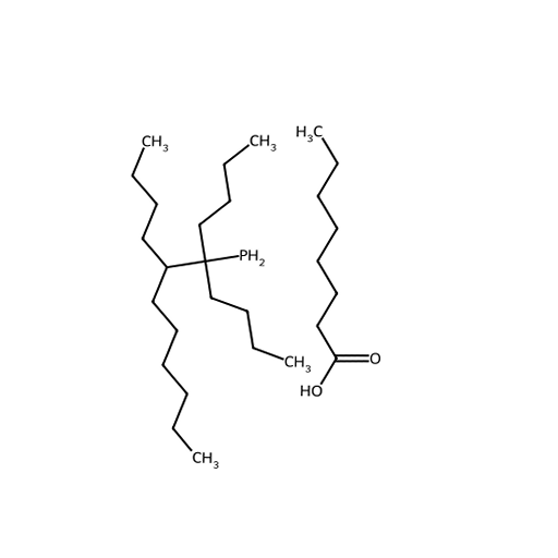 CCCCCCC(CCCC)C(P)(CCCC)CCCC.CCCCCCCC(=O)O